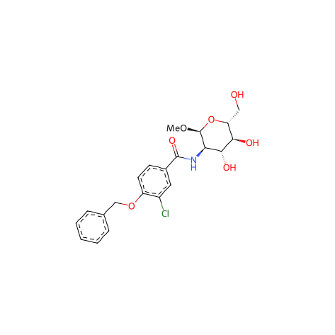 CO[C@H]1O[C@H](CO)[C@@H](O)[C@H](O)[C@H]1NC(=O)c1ccc(OCc2ccccc2)c(Cl)c1